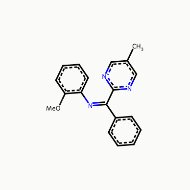 COc1ccccc1N=C(c1ccccc1)c1ncc(C)cn1